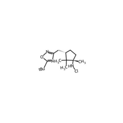 CC(C)(C)c1nc(C[C@@H]2CC[C@](C)(NCl)C2(C)C)no1